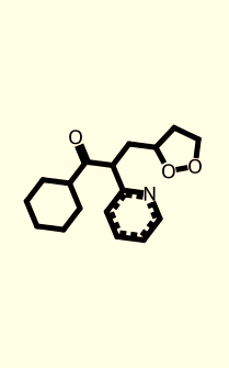 O=C(C1CCCCC1)C(CC1CCOO1)c1ccccn1